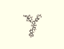 Cc1cn(-c2cc(CN3CCC[C@H](NC(=O)O)C3)cc(NC(=O)c3cc(-c4ccc5c(c4)OCO5)ccn3)c2)cn1